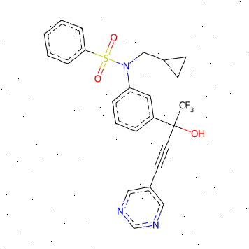 O=S(=O)(c1ccccc1)N(CC1CC1)c1cccc(C(O)(C#Cc2cncnc2)C(F)(F)F)c1